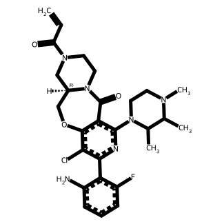 C=CC(=O)N1CCN2C(=O)c3c(N4CCN(C)C(C)C4C)nc(-c4c(N)cccc4F)c(Cl)c3OC[C@H]2C1